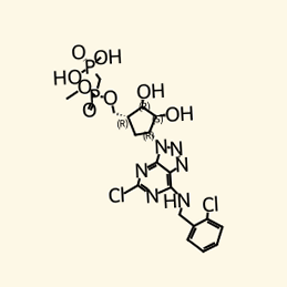 COP(=O)(CP(=O)(O)O)OC[C@H]1C[C@@H](n2nnc3c(NCc4ccccc4Cl)nc(Cl)nc32)[C@H](O)[C@@H]1O